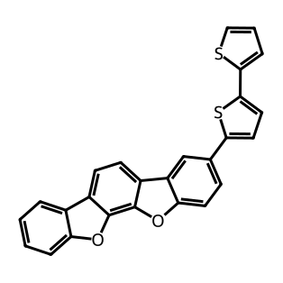 c1csc(-c2ccc(-c3ccc4oc5c(ccc6c7ccccc7oc65)c4c3)s2)c1